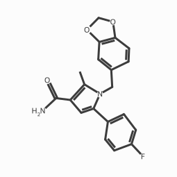 Cc1c(C(N)=O)cc(-c2ccc(F)cc2)n1Cc1ccc2c(c1)OCO2